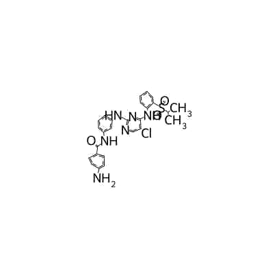 CC(C)S(=O)(=O)c1ccccc1Nc1nc(Nc2cccc(NC(=O)c3ccc(N)cc3)c2)ncc1Cl